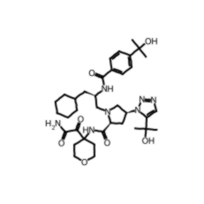 CC(C)(O)c1ccc(C(=O)N[C@H](CC2CCCCC2)CN2C[C@@H](n3nncc3C(C)(C)O)C[C@H]2C(=O)NC2(C(=O)C(N)=O)CCOCC2)cc1